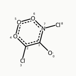 [O]c1c(Cl)ooon1Cl